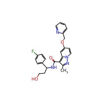 Cc1nn2ccc(OCc3ccccn3)cc2c1C(=O)NC(CCO)c1ccc(F)cc1